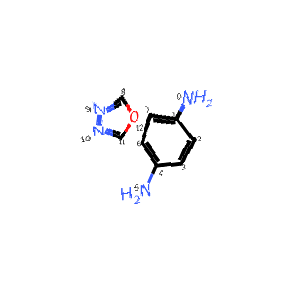 Nc1ccc(N)cc1.c1nnco1